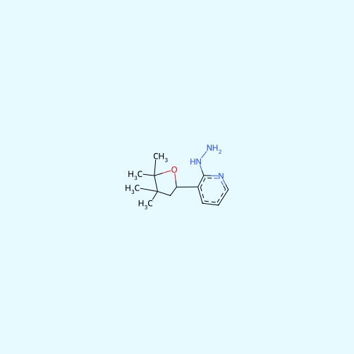 CC1(C)CC(c2cccnc2NN)OC1(C)C